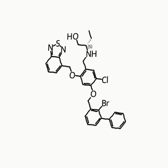 CC[C@@H](CO)NCc1cc(Cl)c(OCc2cccc(-c3ccccc3)c2Br)cc1OCc1cccc2nsnc12